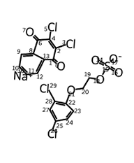 O=C1C(Cl)=C(Cl)C(=O)c2ccccc21.O=S(=O)([O-])OCCOc1ccc(Cl)cc1Cl.[Na+]